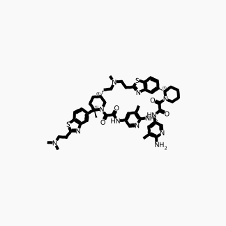 Cc1cc(NC(=O)C(=O)N2CCCC[C@H]2c2ccc3sc(CCN(C)CC[C@H]4CC[C@@](C)(c5ccc6sc(CCN(C)C)nc6c5)N(C(=O)C(=O)Nc5cnc(N)c(C)c5)C4)nc3c2)cnc1N